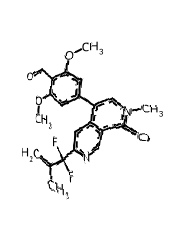 C=C(C)C(F)(F)c1cc2c(-c3cc(OC)c(C=O)c(OC)c3)cn(C)c(=O)c2cn1